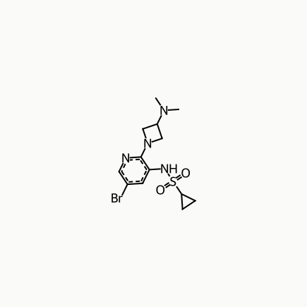 CN(C)C1CN(c2ncc(Br)cc2NS(=O)(=O)C2CC2)C1